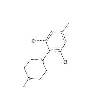 Cc1cc(Cl)c(N2CCN(C)CC2)c(Cl)c1